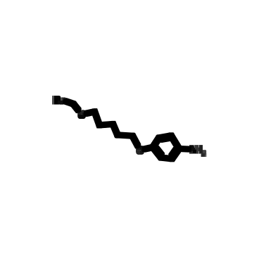 CCC(C)COCCCCCOc1ccc(N)cc1